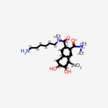 CCN(CC)C(=O)c1cc2c([N+](=O)[O-])c(O)c(O)cc2cc1C(=O)N(CC)CCCCCCN